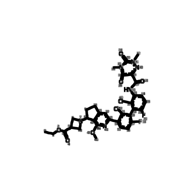 CCOC(=O)C1CN(C2CCc3cc(-c4ccc(F)c(-c5c(F)ccc(NC(=O)c6nn(C)c(=O)n(C)c6=O)c5Cl)c4Cl)nc(OC)c32)C1